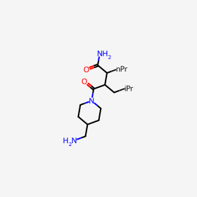 CCCC(C(N)=O)C(CC(C)C)C(=O)N1CCC(CN)CC1